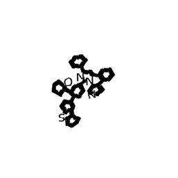 c1ccc(-c2cc(-c3ccccc3-c3ccncc3)nc(-c3ccc(-c4ccc5sc6ccccc6c5c4)c4c3oc3ccccc34)n2)cc1